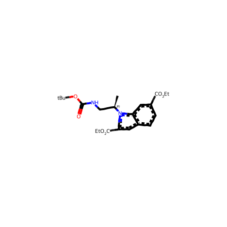 CCOC(=O)c1ccc2cc(C(=O)OCC)n([C@H](C)CNC(=O)OC(C)(C)C)c2c1